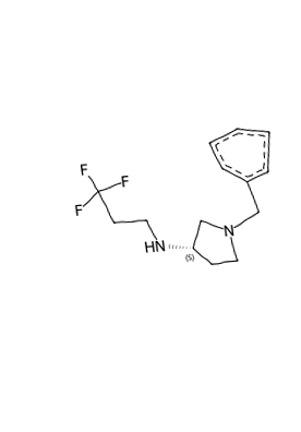 FC(F)(F)CCN[C@H]1CCN(Cc2ccccc2)C1